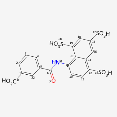 O=C(O)c1cccc(C(=O)Nc2ccc(S(=O)(=O)O)c3cc(S(=O)(=O)O)cc(S(=O)(=O)O)c23)c1